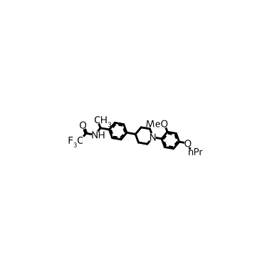 CCCOc1ccc(N2CCC(c3ccc(C(C)NC(=O)C(F)(F)F)cc3)CC2)c(OC)c1